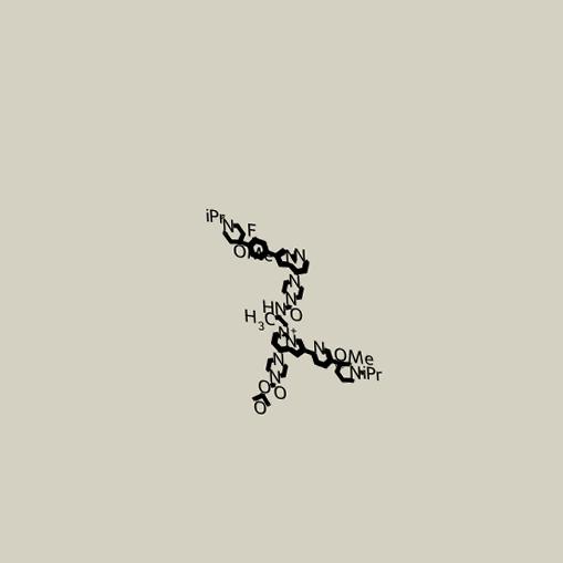 COC1(c2ccc(-c3cc4c(N5CCN(C(=O)NC(C)C[n+]6ccc(N7CCN(C(=O)OC8COC8)CC7)c7cc(-c8ccc([C@@]9(OC)CCCN(C(C)C)C9)cn8)cn76)CC5)ccnn4c3)cc2F)CCN(C(C)C)CC1